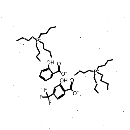 CCCC[P+](CCCC)(CCCC)CCCC.CCCC[P+](CCCC)(CCCC)CCCC.O=C([O-])c1ccc(C(F)(F)F)cc1O.O=C([O-])c1ccccc1O